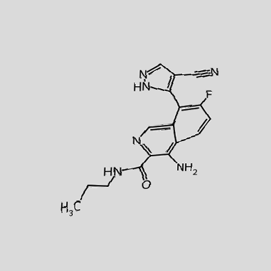 CCCNC(=O)c1ncc2c(-c3[nH]ncc3C#N)c(F)ccc2c1N